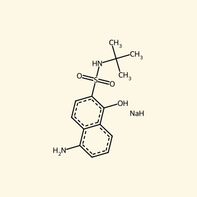 CC(C)(C)NS(=O)(=O)c1ccc2c(N)cccc2c1O.[NaH]